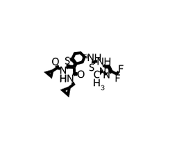 Cn1nc(C(F)F)cc1NC(=S)N[C@H]1CCc2sc(NC(=O)C3CC3)c(C(=O)NCC3CC3)c2C1